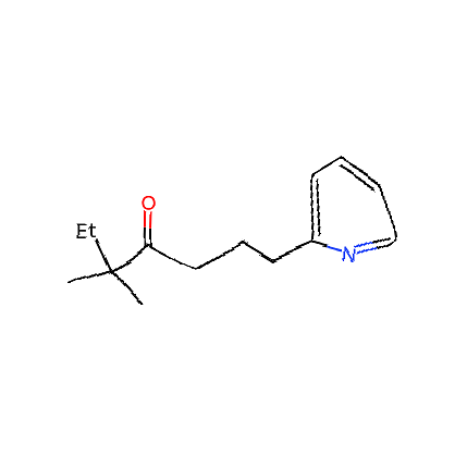 CCC(C)(C)C(=O)CCCc1ccccn1